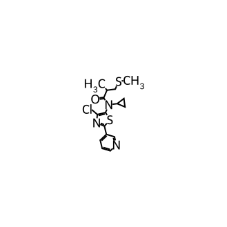 CSCC(C)C(=O)N(c1sc(-c2cccnc2)nc1Cl)C1CC1